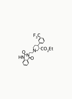 CCOC(=O)[C@@H]1CN(CCn2c(=O)[nH]c3ccccc3c2=O)CCC1c1cccc(C(F)(F)F)c1